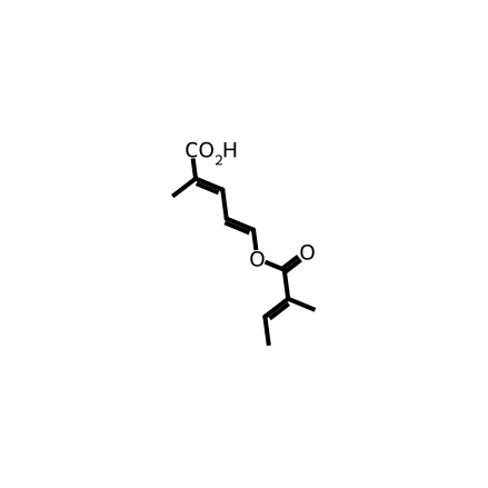 CC=C(C)C(=O)OC=CC=C(C)C(=O)O